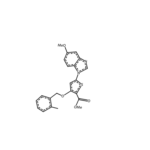 COC(=O)c1sc(-n2cnc3cc(OC)ccc32)cc1OCc1ccccc1C